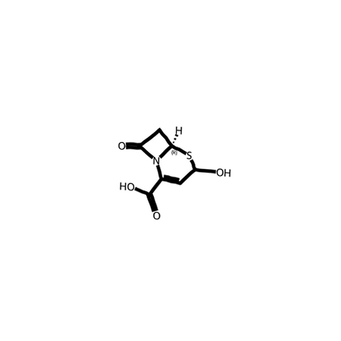 O=C(O)C1=CC(O)S[C@@H]2CC(=O)N12